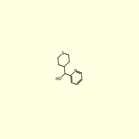 OC(c1ccccn1)C1CCSCC1